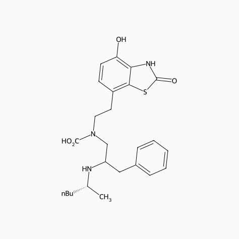 CCCC[C@@H](C)NC(Cc1ccccc1)CN(CCc1ccc(O)c2[nH]c(=O)sc12)C(=O)O